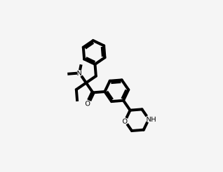 CCC(Cc1ccccc1)(C(=O)c1cccc(C2CNCCO2)c1)N(C)C